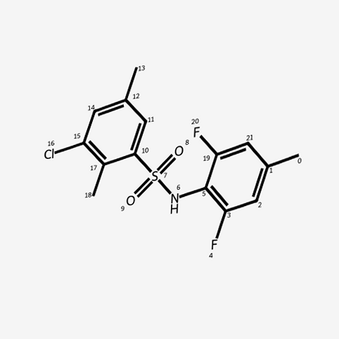 Cc1cc(F)c(NS(=O)(=O)c2cc(C)cc(Cl)c2C)c(F)c1